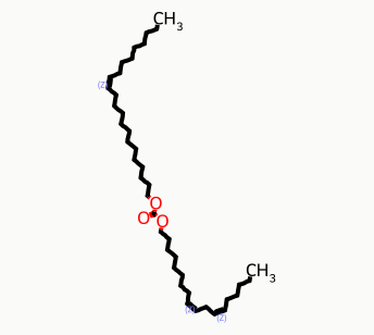 CCCCC/C=C\C/C=C\CCCCCCCCOC(=O)OCCCCCCCCCCCC/C=C\CCCCCCCC